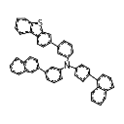 c1cc(-c2ccc3ccccc3c2)cc(N(c2ccc(-c3cccc4ccccc34)cc2)c2cccc(-c3ccc4c(c3)sc3ccccc34)c2)c1